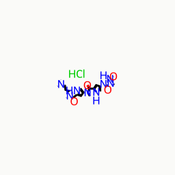 CN(C)CCCN(C)C(=O)c1cc(N(C)C(=O)c2cc(NC(=O)N(C)N=O)c[nH]2)c[nH]1.Cl